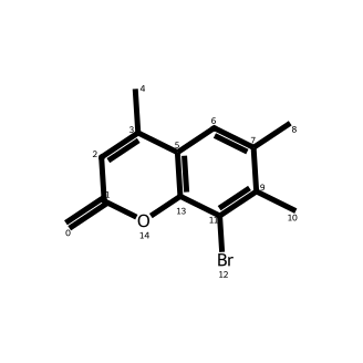 C=C1C=C(C)c2cc(C)c(C)c(Br)c2O1